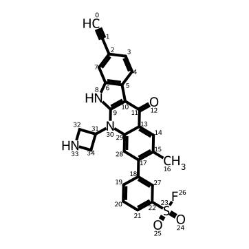 C#Cc1ccc2c(c1)[nH]c1c2c(=O)c2cc(C)c(-c3cccc(S(=O)(=O)F)c3)cc2n1C1CNC1